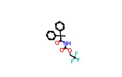 CC(C(=O)NC(=O)OCC(F)(F)F)(c1ccccc1)c1ccccc1